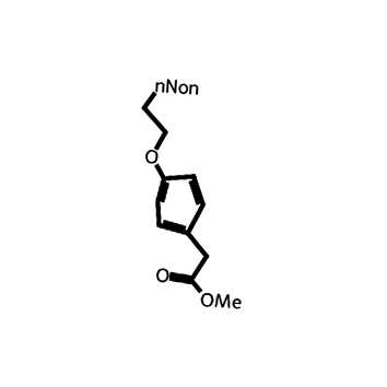 CCCCCCCCCCCOc1ccc(CC(=O)OC)cc1